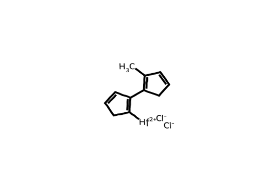 CC1=C(C2=[C]([Hf+2])CC=C2)CC=C1.[Cl-].[Cl-]